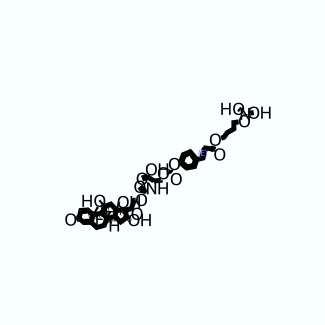 C[C@]12C=CC(=O)C=C1CC[C@H]1[C@@H]3C[C@@H](O)[C@](O)(C(=O)COC(=O)NC(COC(=O)Oc4ccc(/C=C/C(=O)OCCCCON(O)O)cc4)C(=O)O)[C@@]3(C)C[C@H](O)[C@@]12F